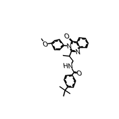 COc1ccc(-n2c(C(C)CNC(=O)c3ccc(C(C)(C)C)cc3)nc3ccccc3c2=O)cc1